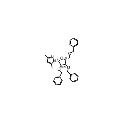 Cc1cc(C)n([C@@H]2O[C@H](COCc3ccccc3)[C@@H](OCc3ccccc3)[C@H]2OCc2ccccc2)n1